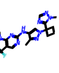 CNc1nc(Nc2cn(C3(c4ncnn4C)CCC3)nc2C)ncc1C(F)(F)F